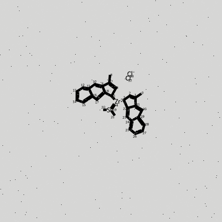 CC1=C[CH]([Zr+2]([CH]2C=C(C)c3cc4ccccc4cc32)=[Si](C)C)c2cc3ccccc3cc21.[Cl-].[Cl-]